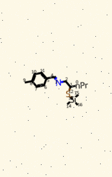 CCCC(CN=Cc1ccc(C)cc1)S[Si](C)(C)C